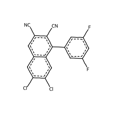 N#Cc1cc2cc(Cl)c(Cl)cc2c(-c2cc(F)cc(F)c2)c1C#N